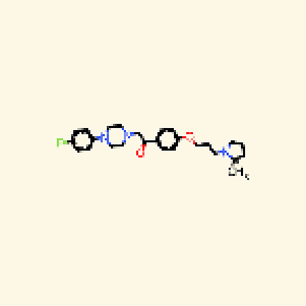 C[C@@H]1CCCN1CCCOc1ccc(C(=O)CN2CCN(c3ccc(F)cc3)CC2)cc1